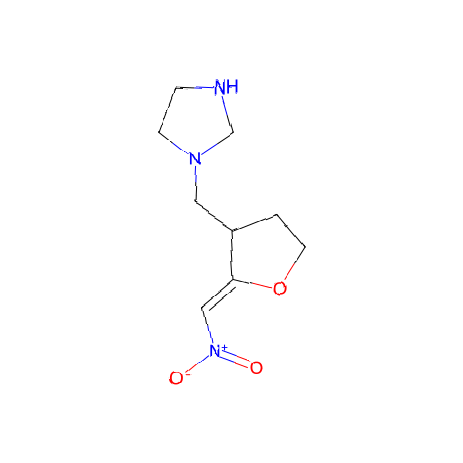 O=[N+]([O-])C=C1OCCC1CN1CCNC1